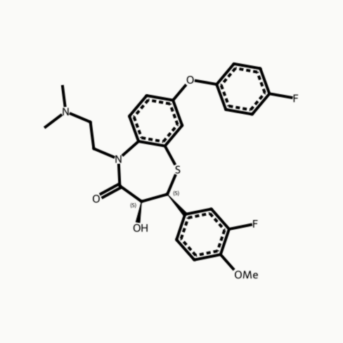 COc1ccc([C@@H]2Sc3cc(Oc4ccc(F)cc4)ccc3N(CCN(C)C)C(=O)[C@@H]2O)cc1F